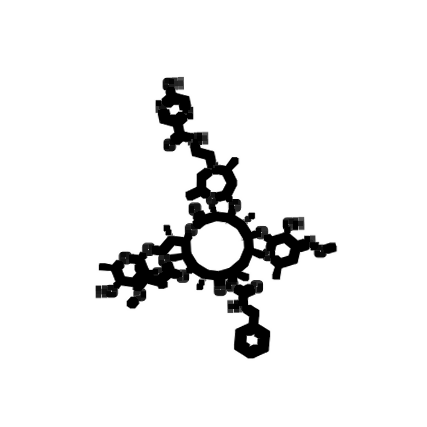 CON=C1C[C@@H](C)O[C@@H](O[C@@H]2[C@@H](C)[C@H](O[C@H]3C[C@H](C)N(CCNC(=O)c4cnc(O)cn4)CC(C)O3)[C@@H](C)C(=O)O[C@H]([C@@H](C)CO[C@@H]3O[C@H](C)[C@@H](O)[C@@H](OC)[C@H]3OC)[C@H](C)[C@@H](OC(=O)CC(C)C)[C@@H](C)C(=O)[C@@](C)(OC(=O)NCc3ccccc3)C[C@@H]2C)[C@@H]1O